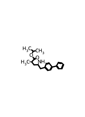 CC(C)OC(=O)[C@H](C)C[C@H](N)Cc1ccc(-c2ccccc2)cc1